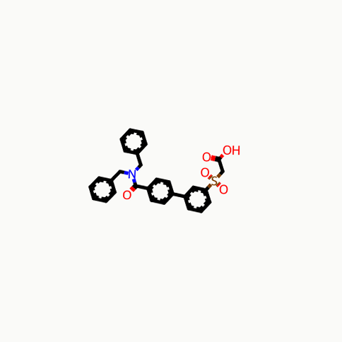 O=C(O)CS(=O)(=O)c1cccc(-c2ccc(C(=O)N(Cc3ccccc3)Cc3ccccc3)cc2)c1